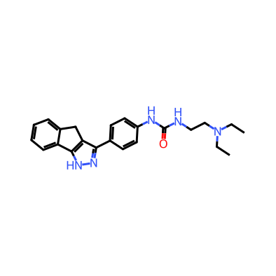 CCN(CC)CCNC(=O)Nc1ccc(-c2n[nH]c3c2Cc2ccccc2-3)cc1